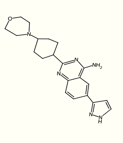 Nc1nc(C2CCC(N3CCOCC3)CC2)nc2ccc(-c3cc[nH]n3)cc12